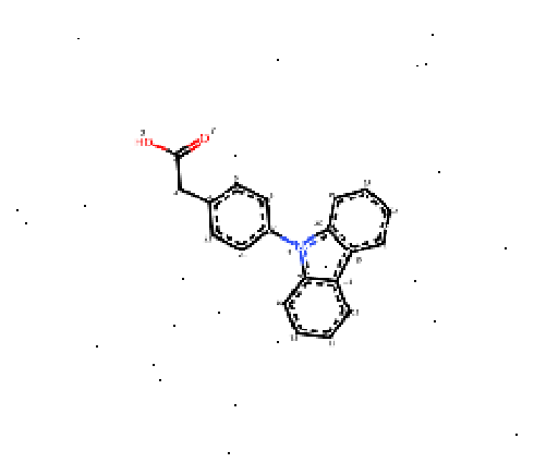 O=C(O)Cc1ccc(-n2c3ccccc3c3ccccc32)cc1